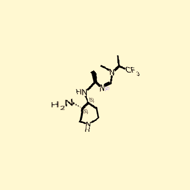 C=C(/N=C\N(C)C(C)C(F)(F)F)N[C@H]1CCNC[C@@H]1N